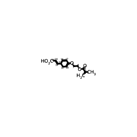 C=C(C)C(=O)OCCOC1=CCC(/C=C/C(=O)O)C=C1